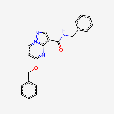 O=C(NCc1ccccc1)c1cnn2ccc(OCc3ccccc3)nc12